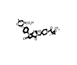 C[C@H]1CN(C(=O)O)[C@H](c2ccc(-n3c(Cl)cc4c(=O)n(CC5(O)CCN(C(=O)[C@]6(C)C[C@H]6C(F)(F)F)CC5)cnc43)cc2)CO1